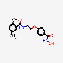 Cc1ccc(C)c(C(=O)NCCOc2ccc(C(=O)NO)cc2)c1